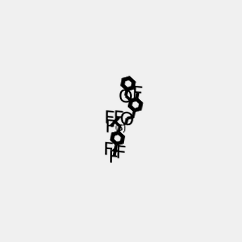 Fc1ccc(COC[C@H](c2ccc(C(F)(F)F)cc2)C(F)(F)F)cc1Oc1ccccc1